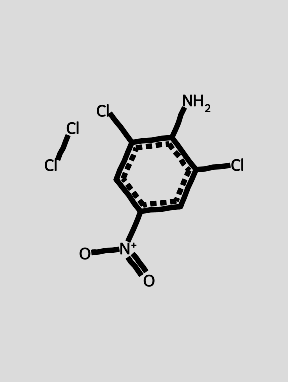 ClCl.Nc1c(Cl)cc([N+](=O)[O-])cc1Cl